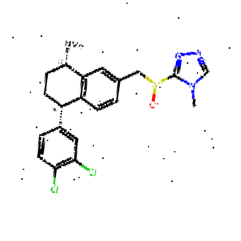 CN[C@H]1CC[C@@H](c2ccc(Cl)c(Cl)c2)c2ccc(C[S+]([O-])c3nncn3C)cc21